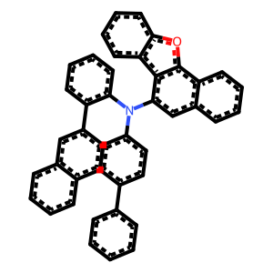 c1ccc(-c2ccc(N(c3ccccc3-c3ccc4ccccc4c3)c3cc4ccccc4c4oc5ccccc5c34)cc2)cc1